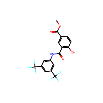 COC(=O)c1ccc(O)c(C(=O)Nc2cc(C(F)(F)F)cc(C(F)(F)F)c2)c1